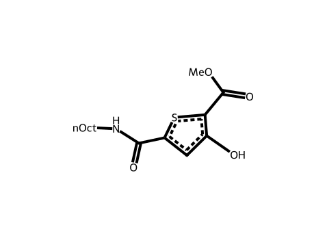 CCCCCCCCNC(=O)c1cc(O)c(C(=O)OC)s1